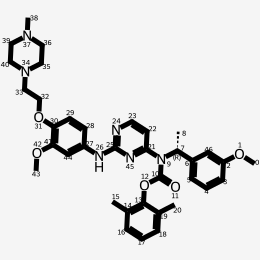 COc1cccc([C@@H](C)N(C(=O)Oc2c(C)cccc2C)c2ccnc(Nc3ccc(OCCN4CCN(C)CC4)c(OC)c3)n2)c1